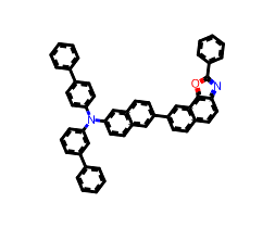 c1ccc(-c2ccc(N(c3cccc(-c4ccccc4)c3)c3ccc4cc(-c5ccc6ccc7nc(-c8ccccc8)oc7c6c5)ccc4c3)cc2)cc1